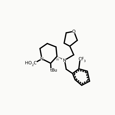 CC(C)(C)C1[C@@H](N(Cc2ccccc2C(F)(F)F)CC2CCOC2)CCCN1C(=O)O